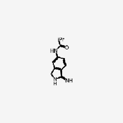 CC(C)C(=O)Nc1ccc2c(c1)CNC2=N